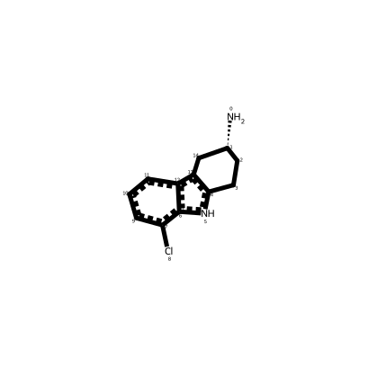 N[C@@H]1CCc2[nH]c3c(Cl)cccc3c2C1